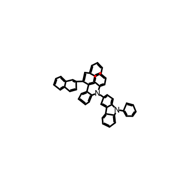 c1ccc(N(c2ccc3c(c2)c2ccccc2n3-c2ccccc2)c2ccccc2-c2cc3ccccc3cc2-c2ccc3ccccc3c2)cc1